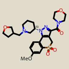 COc1ccc2c(c1)S(=O)(=O)Cc1c(C(=O)N3CCOCC3)nn([C@H]3CCCN(CC4CCOC4)C3)c1-2